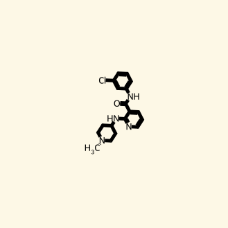 CN1CCC(Nc2ncccc2C(=O)Nc2cccc(Cl)c2)CC1